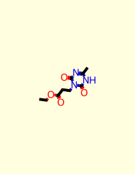 CCOC(=O)CCn1c(=O)nc(C)[nH]c1=O